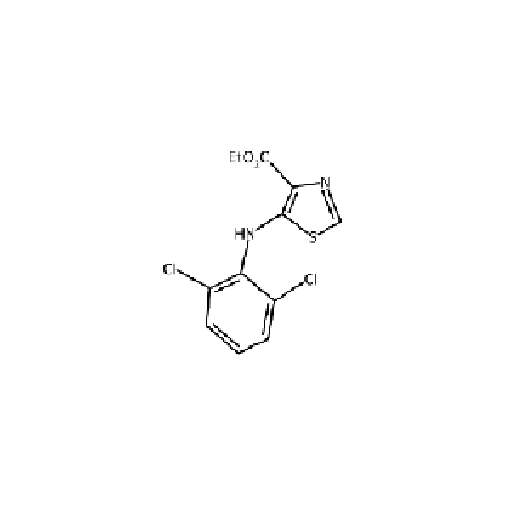 CCOC(=O)c1ncsc1Nc1c(Cl)cccc1Cl